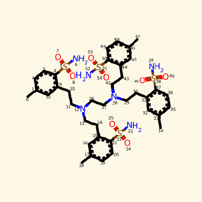 Cc1ccc(S(N)(=O)=O)c(CCN(CCc2cc(C)ccc2S(N)(=O)=O)CCN(CCc2cc(C)ccc2S(N)(=O)=O)CCc2cc(C)ccc2S(N)(=O)=O)c1